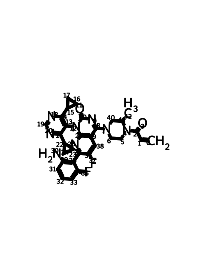 C=CC(=O)N1CCN(c2nc(=O)n(-c3c(C4CC4)ncnc3C3CC3)c3nc(-c4c(N)cccc4F)c(F)cc23)CC1C